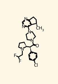 C[C@@H]1CCc2ncnc(N3CCN(C(=O)[C@@H](c4ccc(Cl)cc4)[C@@H]4CCCN4CC(F)F)CC3)c21